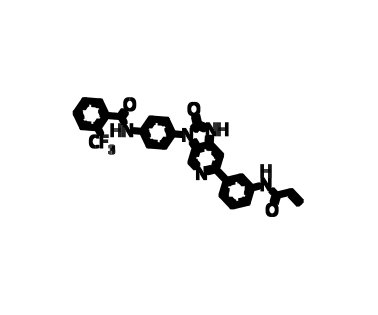 C=CC(=O)Nc1cccc(-c2cc3[nH]c(=O)n(-c4ccc(NC(=O)c5ccccc5C(F)(F)F)cc4)c3cn2)c1